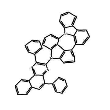 c1ccc(-c2nc3c(nc2-n2c4cccc5c6cccc7c8ccccc8n(c8cccc2c8c54)c67)c(-c2ccccc2)cc2ccccc23)cc1